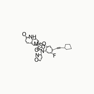 COc1cc(C#CC2CCCC2)c(F)cc1N(c1ccon1)S(=O)(=O)c1ccc2[nH]c(=O)ccc2c1